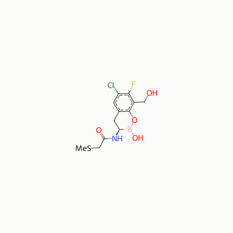 CSCC(=O)N[C@H]1Cc2cc(Cl)c(F)c(CO)c2OB1O